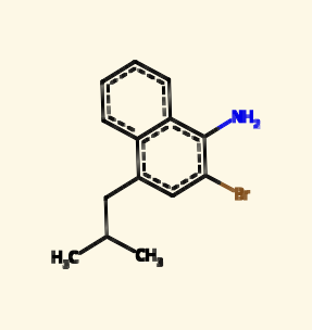 CC(C)Cc1cc(Br)c(N)c2ccccc12